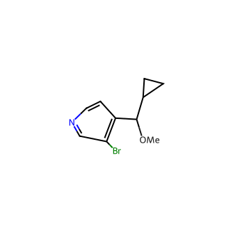 COC(c1ccncc1Br)C1CC1